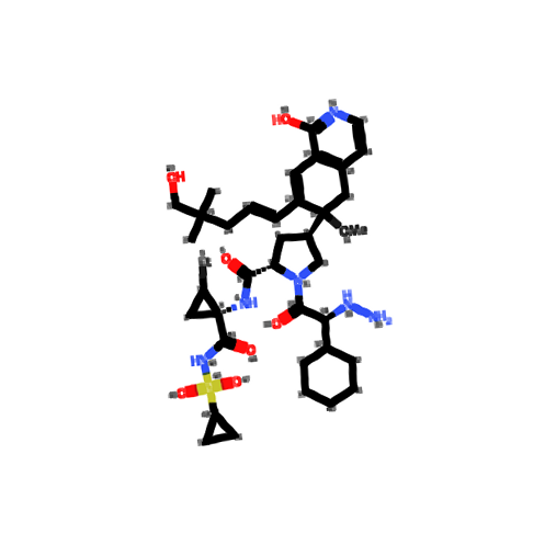 CCC1C[C@]1(NC(=O)[C@@H]1C[C@@H](C2(OC)Cc3ccnc(O)c3C=C2/C=C/CC(C)(C)CO)CN1C(=O)[C@@H](NN)C1CCCCC1)C(=O)NS(=O)(=O)C1CC1